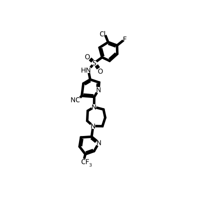 N#Cc1cc(NS(=O)(=O)c2ccc(F)c(Cl)c2)cnc1N1CCCN(c2ccc(C(F)(F)F)cn2)CC1